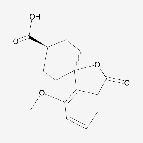 COc1cccc2c1[C@]1(CC[C@H](C(=O)O)CC1)OC2=O